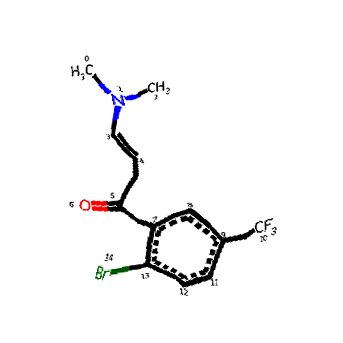 CN(C)C=CC(=O)c1cc(C(F)(F)F)ccc1Br